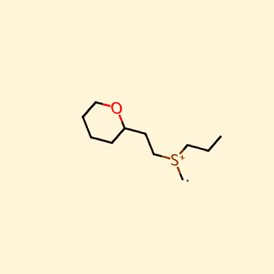 [CH2][S+](CCC)CCC1CCCCO1